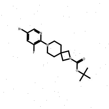 CC(C)(C)OC(=O)N1CC2(CCN(c3ncc(Br)cc3F)CC2)C1